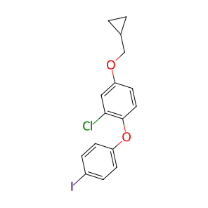 Clc1cc(OCC2CC2)ccc1Oc1ccc(I)cc1